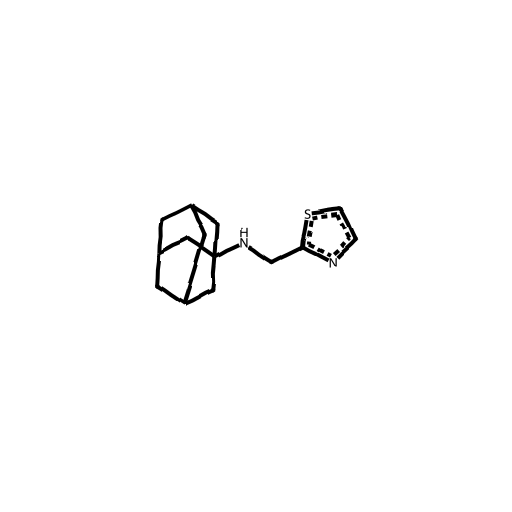 c1csc(CNC23CC4CC(CC(C4)C2)C3)n1